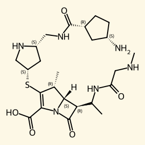 CNCC(=O)NC(C)[C@H]1C(=O)N2C(C(=O)O)=C(S[C@@H]3CN[C@H](CNC(=O)[C@@H]4CC[C@H](N)C4)C3)[C@H](C)[C@H]12